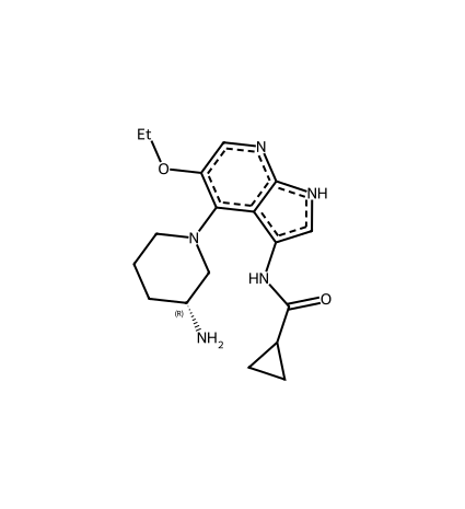 CCOc1cnc2[nH]cc(NC(=O)C3CC3)c2c1N1CCC[C@@H](N)C1